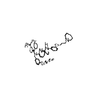 COc1cccc(CN(C(=O)OC(C(C)C)C(C)C)c2ccnc(Nc3cccc(OCCCN4CCCCC4)c3)n2)c1